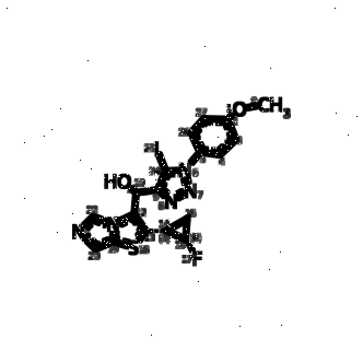 COc1ccc(-n2nnc(C(O)c3c([C@@H]4C[C@H]4F)sc4cncn34)c2I)cc1